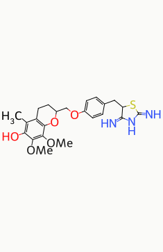 COc1c(O)c(C)c2c(c1OC)OC(COc1ccc(CC3SC(=N)NC3=N)cc1)CC2